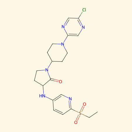 CCS(=O)(=O)c1ccc(NC2CCN(C3CCN(c4cnc(Cl)cn4)CC3)C2=O)cn1